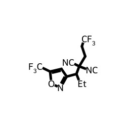 [C-]#[N+]C(C#N)(CCC(F)(F)F)C(CC)c1cc(C(F)(F)F)on1